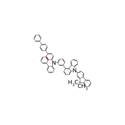 CC1(C)c2ccccc2-c2ccc(-n3c4ccccc4c4c(-c5cccc(N(c6ccc(-c7ccc(-c8ccccc8)cc7)cc6)c6ccccc6-c6ccccc6)c5)cccc43)cc21